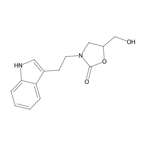 O=C1OC(CO)CN1CCc1c[nH]c2ccccc12